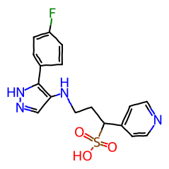 O=S(=O)(O)C(CCNc1cn[nH]c1-c1ccc(F)cc1)c1ccncc1